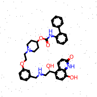 O=C(Nc1ccccc1-c1ccccc1)OC1CCN(CCOc2cccc(CNC[C@H](O)c3ccc(O)c4[nH]c(=O)ccc34)c2)CC1